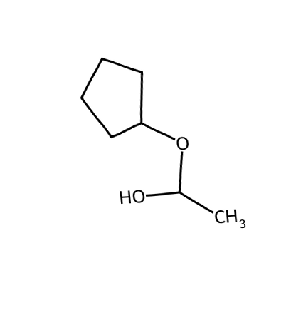 CC(O)OC1CCCC1